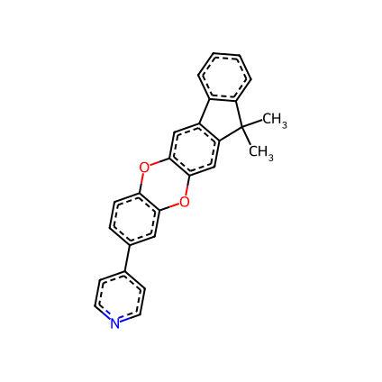 CC1(C)c2ccccc2-c2cc3c(cc21)Oc1cc(-c2ccncc2)ccc1O3